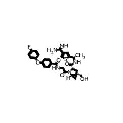 C[C@@H](NC(=O)[C@@H]1C[C@]2(CO)C[C@@H]2N1C(=O)CNC(=O)c1ccc(Oc2ccc(F)cc2)cc1)c1cc(C(=N)N)cs1